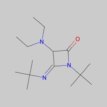 CCN(CC)C1C(=O)N(C(C)(C)C)C1=NC(C)(C)C